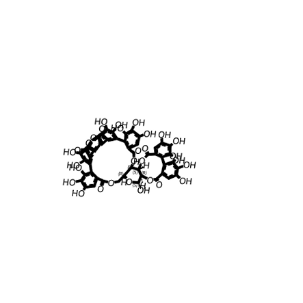 O=C1O[C@@H]2[C@@H](OC(=O)c3cc(O)c(O)c(O)c3-c3c1cc(O)c(O)c3O)[C@@H](O)O[C@@H]1COC(=O)c3cc(O)c(O)c(O)c3-c3c(O)c(O)c4oc(=O)c5c(c(O)c(O)c6oc(=O)c3c4c65)-c3c(cc(O)c(O)c3O)C(=O)O[C@@H]21